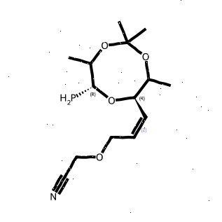 CC1OC(C)(C)OC(C)[C@@H](/C=C\COCC#N)O[C@@H]1P